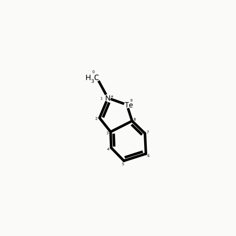 C[n+]1cc2ccccc2[te]1